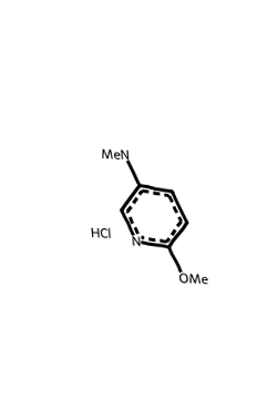 CNc1ccc(OC)nc1.Cl